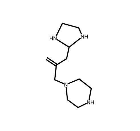 C=C(CC1NCCN1)CN1CCNCC1